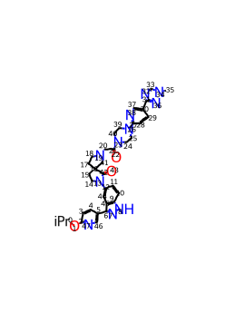 CC(C)Oc1ccc(-c2n[nH]c3ccc(N4CC[C@]5(CCN(CC(=O)N6CCN(c7ccc(-c8ncn(C)n8)cn7)CC6)C5)C4=O)cc23)cn1